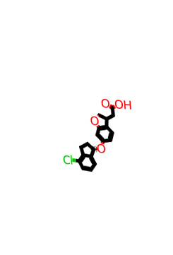 O=C(O)CC1COc2cc(O[C@@H]3CCc4c(Cl)cccc43)ccc21